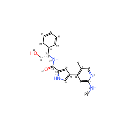 Cc1cnc(NC(C)C)cc1-c1c[nH]c(C(=O)N[C@H](CO)C2C=CC=CC2)c1